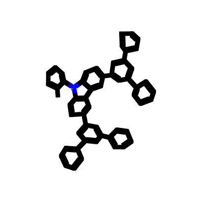 Cc1ccccc1-n1c2ccc(-c3cc(-c4ccccc4)cc(-c4ccccc4)c3)cc2c2cc(-c3cc(-c4ccccc4)cc(-c4ccccc4)c3)ccc21